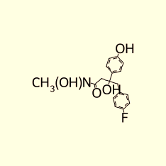 CN(O)C(=O)CC(O)(Cc1ccc(F)cc1)c1ccc(O)cc1